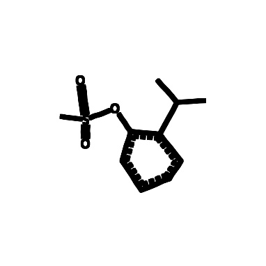 CC(C)c1ccccc1OS(C)(=O)=O